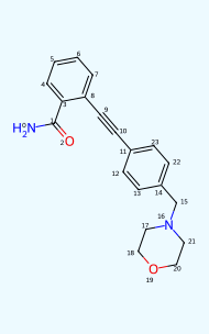 NC(=O)c1ccccc1C#Cc1ccc(CN2CCOCC2)cc1